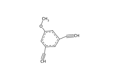 C#Cc1cc(C#C)cc(OC)c1